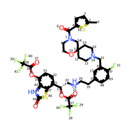 Cc1ccc(C(=O)N2CCOC3(CCN(Cc4cc(CCNC[C@H](OC(=O)C(F)(F)F)c5ccc(OC(=O)C(F)(F)F)c6[nH]c(=O)sc56)ccc4F)CC3)C2)s1